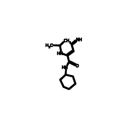 CC(C)N/C(=C\C=N)C(=O)NC1CCCCC1